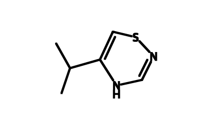 CC(C)C1=CSN=CN1